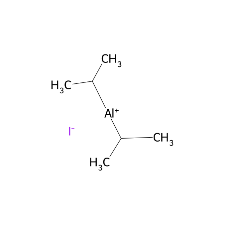 C[CH](C)[Al+][CH](C)C.[I-]